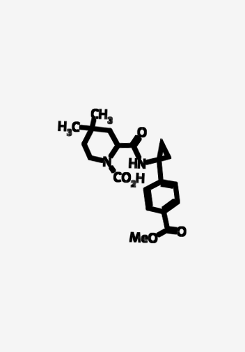 COC(=O)c1ccc(C2(NC(=O)C3CC(C)(C)CCN3C(=O)O)CC2)cc1